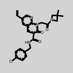 C=Cc1cnc2c(c1)cc(C(=O)NCc1ccc(Cl)cc1)c(=O)n2CC(=O)N1CC(C)(C)C1